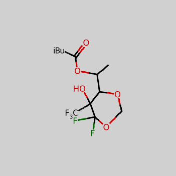 CCC(C)C(=O)OC(C)C1OCOC(F)(F)C1(O)C(F)(F)F